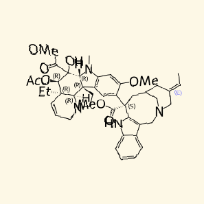 C/C=C1\CC2CN(C1)Cc1c([nH]c3ccccc13)[C@@](C(=O)OC)(c1cc3c(cc1OC)N(C)[C@H]1C(O)(C(=O)OC)[C@H](OC(C)=O)[C@]4(CC)C=CCN5CC[C@]31[C@@H]54)C2